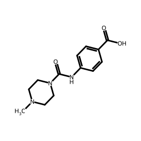 CN1CCN(C(=O)Nc2ccc(C(=O)O)cc2)CC1